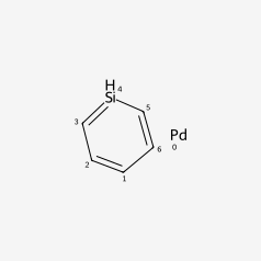 [Pd].c1cc[siH]cc1